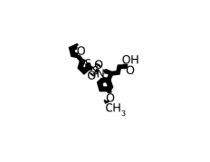 CCOc1ccc2c(c1)C(CCC(=O)O)CN2S(=O)(=O)c1ccc(-c2ccco2)s1